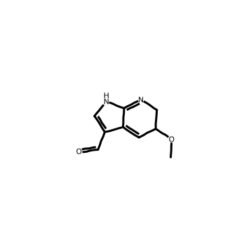 COC1C=c2c(C=O)c[nH]c2=NC1